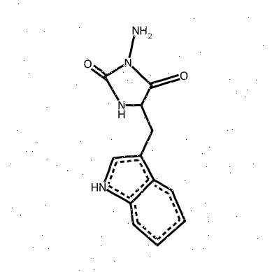 NN1C(=O)NC(Cc2c[nH]c3ccccc23)C1=O